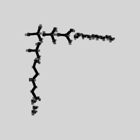 NCCNCCN.[Na+].[Na+].[Na+].[Na+].[Na+].[Na+].[Na+].[Na+].[Na+].[Na+].[Na+].[Na+].[O-]B([O-])[O-].[O-]B([O-])[O-].[O-]B([O-])[O-].[O-]B([O-])[O-]